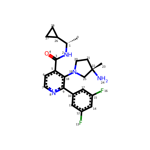 C[C@H](NC(=O)c1ccnc(-c2cc(F)cc(F)c2)c1N1CC[C@](C)(N)C1)C1CC1